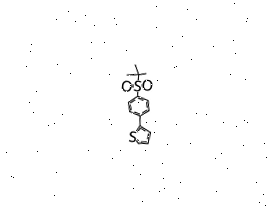 CC(C)(C)S(=O)(=O)c1ccc(-c2cccs2)cc1